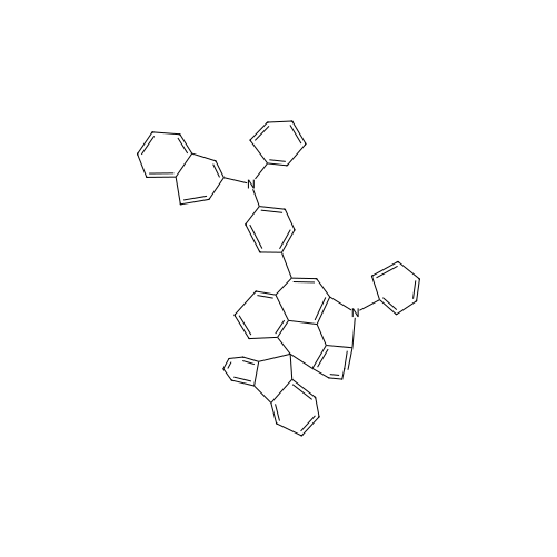 c1ccc(N(c2ccc(-c3cc4c5c6c(cccc36)C3(c6ccccc6-c6ccccc63)c3cccc(c35)n4-c3ccccc3)cc2)c2ccc3ccccc3c2)cc1